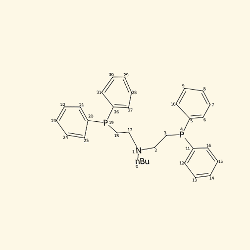 CCCCN(CCP(c1ccccc1)c1ccccc1)CCP(c1ccccc1)c1ccccc1